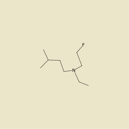 CCN(CCF)CCC(C)C